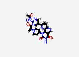 C=C(COC)N1CCC(n2c(=O)[nH]c(=O)c3cnc4ccc(-c5cnc(NC(C)=O)nc5)nc4c32)CC1